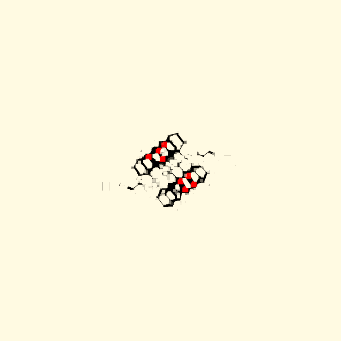 C=CCO[Si](c1ccccc1)(c1ccccc1)[Si](c1ccccc1)(c1ccccc1)[Si](c1ccccc1)(c1ccccc1)[Si](c1ccccc1)(c1ccccc1)[Si](OCC=C)(c1ccccc1)c1ccccc1